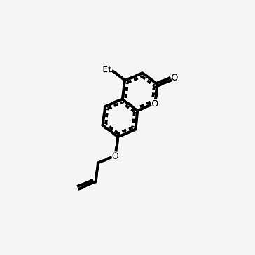 C=CCOc1ccc2c(CC)cc(=O)oc2c1